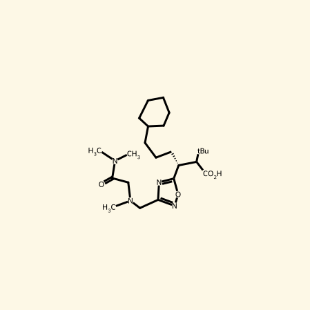 CN(CC(=O)N(C)C)Cc1noc([C@H](CCCC2CCCCC2)C(C(=O)O)C(C)(C)C)n1